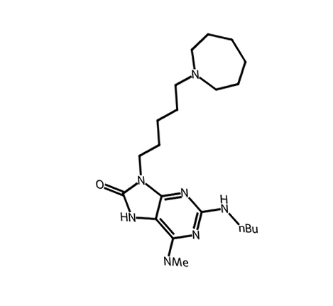 CCCCNc1nc(NC)c2[nH]c(=O)n(CCCCCN3CCCCCC3)c2n1